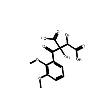 COc1cccc(C(=O)C(O)(C(=O)O)C(O)C(=O)O)c1OC